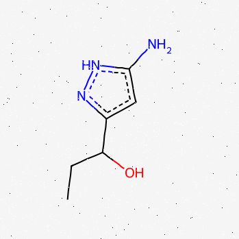 CCC(O)c1cc(N)[nH]n1